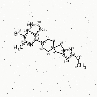 COc1nc2c(s1)CC1(CCN(c3nc(C)c(Br)n4nccc34)CC1)C2